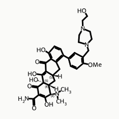 COc1ccc(-c2ccc(O)c3c2C[C@@H]2C[C@@H]4[C@@H](N(C)C)C(O)=C(C(N)=O)C(=O)[C@@]4(O)C(O)=C2C3=O)cc1CN1CCN(CCO)CC1